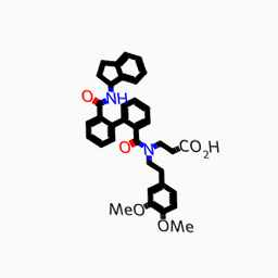 COc1ccc(CCN(CCC(=O)O)C(=O)c2ccccc2-c2ccccc2C(=O)NC2CCc3ccccc32)cc1OC